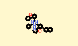 C1=CC2Oc3cccc(-c4nc(-c5ccccc5)nc(-c5ccc(-c6ccc7ccccc7c6)c6oc7cccnc7c56)n4)c3C2C=C1